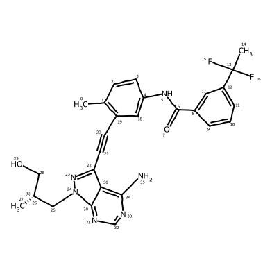 Cc1ccc(NC(=O)c2cccc(C(C)(F)F)c2)cc1C#Cc1nn(C[C@H](C)CO)c2ncnc(N)c12